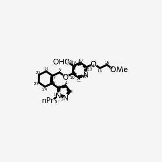 CCCn1nccc1C1=C(COc2cnc(OCCOC)cc2C=O)CCCC1